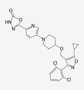 O=c1[nH]nc(-c2ccc(N3CCC(OCc4c(-c5c(Cl)cccc5Cl)noc4C4CC4)CC3)cn2)o1